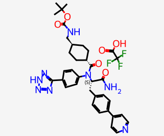 CC(C)(C)OC(=O)NC[C@H]1CC[C@H](C(=O)N(c2ccc(-c3nn[nH]n3)cc2)[C@@H](Cc2ccc(-c3ccncc3)cc2)C(N)=O)CC1.O=C(O)C(F)(F)F